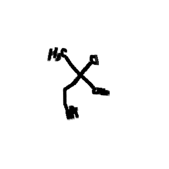 CCCCC(C)(Cl)OC